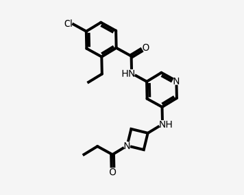 CCC(=O)N1CC(Nc2cncc(NC(=O)c3ccc(Cl)cc3CC)c2)C1